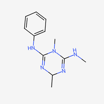 CNC1=NC(C)N=C(Nc2ccccc2)N1C